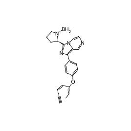 BN1CCC[C@@H]1c1nc(-c2ccc(OC(/C=C\C#C)=C/C)cc2)c2cnccn12